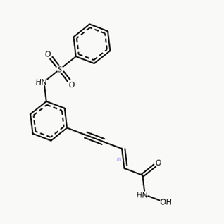 O=C(/C=C/C#Cc1cccc(NS(=O)(=O)c2ccccc2)c1)NO